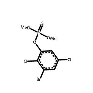 COP(=S)(OC)Oc1cc(Cl)cc(Br)c1Cl